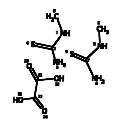 CNC(N)=S.CNC(N)=S.O=C(O)C(=O)O